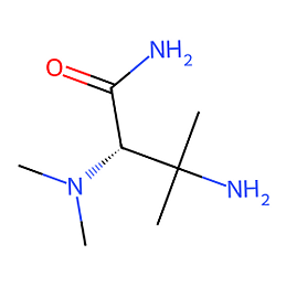 CN(C)[C@H](C(N)=O)C(C)(C)N